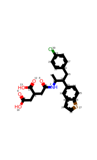 CC(NC(=O)CC(CC(=O)O)C(=O)O)C(Cc1ccc(Cl)cc1)c1ccc2sccc2c1